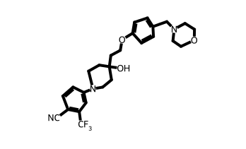 N#Cc1ccc(N2CCC(O)(CCOc3ccc(CN4CCOCC4)cc3)CC2)cc1C(F)(F)F